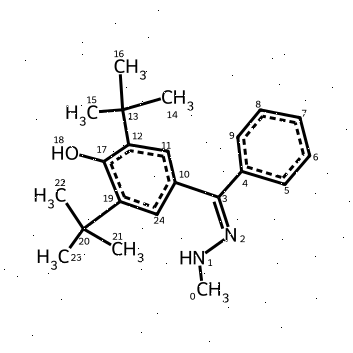 CNN=C(c1ccccc1)c1cc(C(C)(C)C)c(O)c(C(C)(C)C)c1